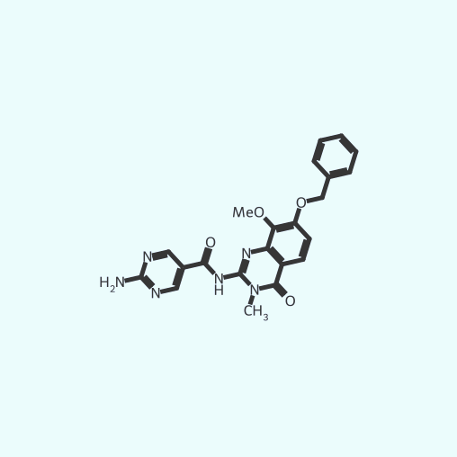 COc1c(OCc2ccccc2)ccc2c(=O)n(C)c(NC(=O)c3cnc(N)nc3)nc12